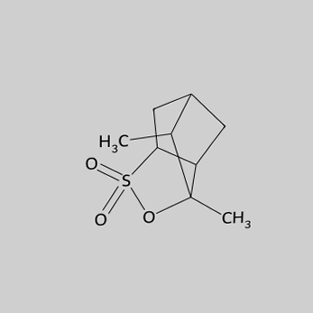 CC1C2CC3C(C2)S(=O)(=O)OC13C